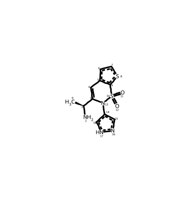 C[C@H](N)C1=Cc2ccsc2S(=O)(=O)N1c1cn[nH]c1